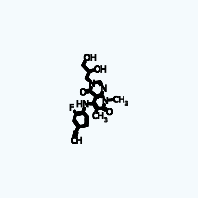 C#Cc1ccc(Nc2c(C)c(=O)n(C)c3ncn(CC(O)CO)c(=O)c23)c(F)c1